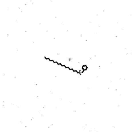 CCCCCCCCCCCCCCCCCC[N+](C)(C)Cc1ccccc1.[Br-]